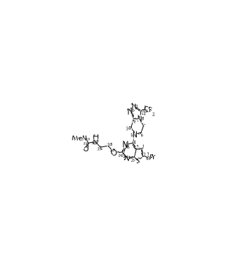 CCCc1cc2c(N3CCn4c(nnc4C(F)(F)F)C3)nc(OCCNC(=O)NC)nc2s1